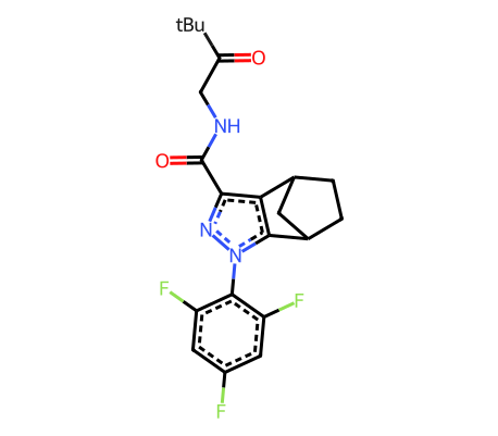 CC(C)(C)C(=O)CNC(=O)c1nn(-c2c(F)cc(F)cc2F)c2c1C1CCC2C1